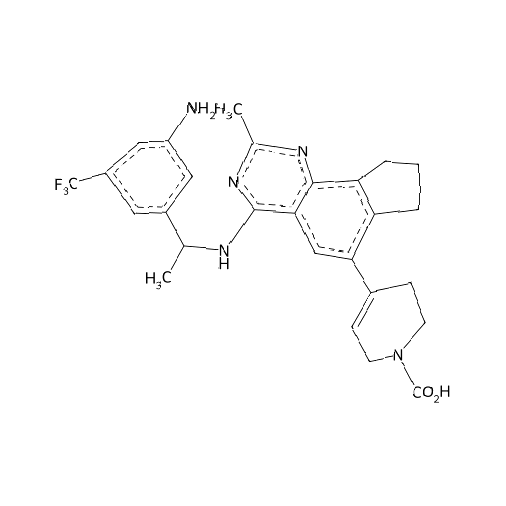 Cc1nc(NC(C)c2cc(N)cc(C(F)(F)F)c2)c2cc(C3=CCN(C(=O)O)CC3)c3c(c2n1)CCC3